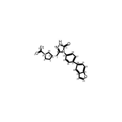 CCC(=O)N1CC[C@@H](Cc2n[nH]c(=O)n2-c2ccc(-c3ccc4occc4c3)cc2)C1